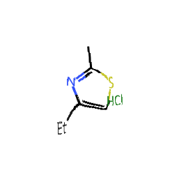 CCc1csc(C)n1.Cl